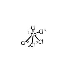 [Cl][Yb]([Cl])([Cl])([Cl])[Cl]